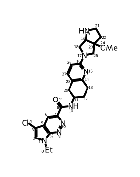 CCn1cc(Cl)c2cc(C(=O)NC3CCc4nc(N5CC6NCCC6(OC)C5)ccc4C3)nnc21